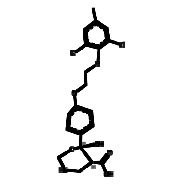 Cc1cc(Cl)c(OCCOc2ccc([C@@]3(O)CCNC[C@@H]3C(=O)O)cc2)c(Cl)c1